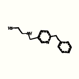 SCCNCc1ccc(Cc2ccccc2)nc1